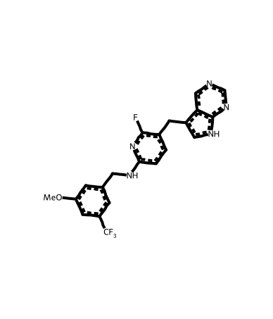 COc1cc(CNc2ccc(Cc3c[nH]c4ncncc34)c(F)n2)cc(C(F)(F)F)c1